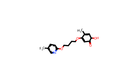 CC1=CC(O)C(=O)C=C1OCCCCOc1ccc(C(F)(F)F)cn1